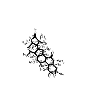 CC(=O)O[C@H]1C2C(C(=O)[C@H](N)[C@H]3C[C@@H]4O[C@@H]4[C@H](O)[C@]23C)[C@@H]2[C@@H](O)[C@@H]3[C@H](C(C)O[C@@]4(C)OC(=O)[C@@](C)(O)[C@]34C)[C@@]2(C)[C@H]1OC(C)=O